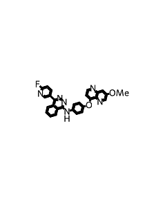 COc1cnc2c(Oc3ccc(Nc4nnc(-c5ccc(F)nc5)c5ccccc45)cc3)ccnc2c1